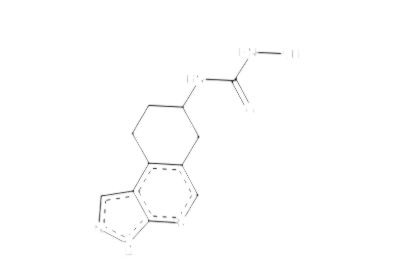 CNC(=O)NC1CCc2c(cnc3[nH]ncc23)C1